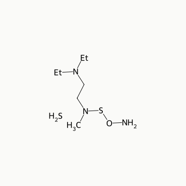 CCN(CC)CCN(C)SON.S